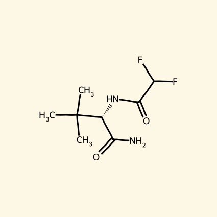 CC(C)(C)[C@H](NC(=O)C(F)F)C(N)=O